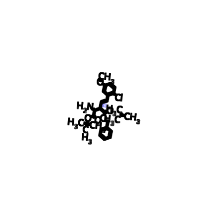 CC(C)C.COc1ccc(Cl)c(/C=C/C(C(=O)OCc2ccccc2)C(N)C(=O)OC(C)(C)C)c1